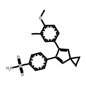 COc1ccc(C2=CC3(C=C2c2ccc(S(N)(=O)=O)cc2)CC3)cc1C